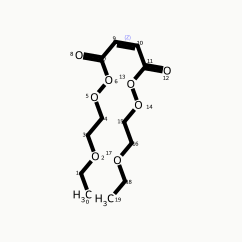 CCOCCOOC(=O)/C=C\C(=O)OOCCOCC